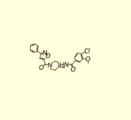 COc1cc(C(=O)NCC2CCN(C(=O)c3cc(-c4ccccc4)no3)CC2)ccc1Cl